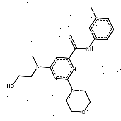 Cc1cccc(NC(=O)c2cc(N(C)CCO)nc(N3CCOCC3)n2)c1